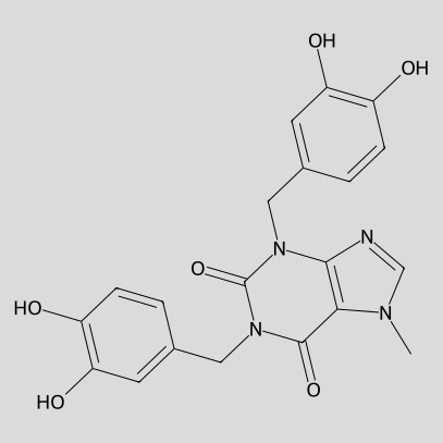 Cn1cnc2c1c(=O)n(Cc1ccc(O)c(O)c1)c(=O)n2Cc1ccc(O)c(O)c1